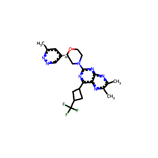 Cc1cc([C@H]2CN(c3nc(C4CC(C(F)(F)F)C4)c4nc(C)c(C)nc4n3)CCO2)cnn1